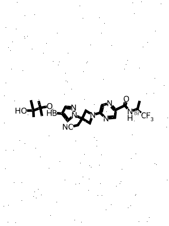 C[C@H](NC(=O)c1cnc(N2CC(CC#N)(n3cc(BOC(C)(C)C(C)(C)O)cn3)C2)cn1)C(F)(F)F